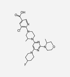 CC1CN(c2ncc(C(=O)O)cc2Cl)CCN1c1cc(N2CCC(F)CC2)nc(N2CCOCC2C)n1